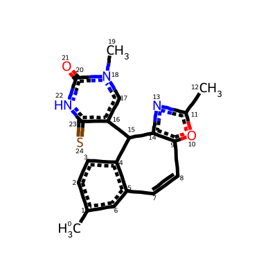 Cc1ccc2c(c1)C=Cc1oc(C)nc1C2c1cn(C)c(=O)[nH]c1=S